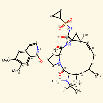 COc1cc2ccnc(O[C@@H]3C[C@H]4C(=O)N[C@]5(C(=O)NS(=O)(=O)C6CC6)C[C@H]5C=CCC[C@@H](C)C[C@@H](C)[C@H](N(C(=O)O)C(C)(C)C(F)(F)F)C(=O)N4C3)c2cc1OC